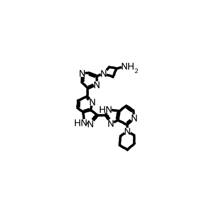 NC1CN(c2cncc(-c3ccc4[nH]nc(-c5nc6c(N7CCCCC7)nccc6[nH]5)c4n3)n2)C1